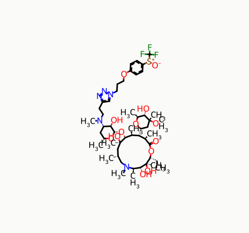 CC[C@H]1OC(=O)[C@H](C)[C@@H](C2C[C@@](C)(OC)[C@@H](O)[C@H](C)O2)[C@H](C)[C@@H](O[C@@H]2O[C@H](C)C[C@H](N(C)CCc3cn(CCCOc4ccc([S+]([O-])C(F)(F)F)cc4)nn3)[C@H]2O)[C@](C)(O)C[C@@H](C)CN(C)[C@H](C)[C@@H](O)[C@]1(C)O